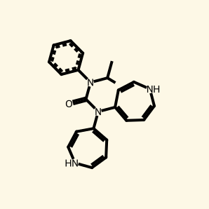 CC(C)N(C(=O)N(C1=CC=CNC=C1)C1=CC=CNC=C1)c1ccccc1